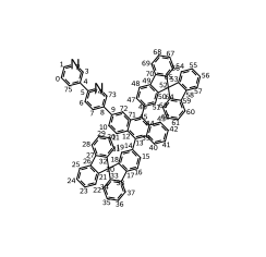 c1cncc(-c2ccc(-c3ccc4c(-c5ccc6c(c5)C5(c7ccccc7-c7ccccc75)c5ccccc5-6)c5ccccc5c(-c5ccc6c(c5)C5(c7ccccc7-c7ccccc75)c5ccccc5-6)c4c3)cn2)c1